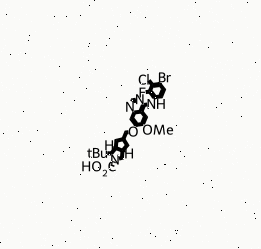 COc1cc2c(Nc3ccc(Br)c(Cl)c3F)ncnc2cc1OCC1C[C@H]2CN(C(=O)O)C(C(C)(C)C)[C@H]2C1